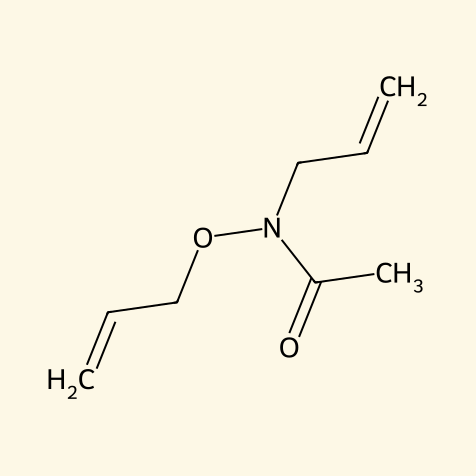 C=CCON(CC=C)C(C)=O